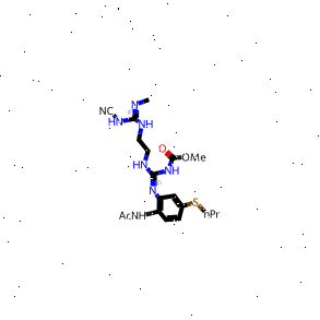 CCCSc1ccc(NC(C)=O)c(/N=C(/NCCN/C(=N\C)NC#N)NC(=O)OC)c1